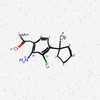 CNC(=O)c1ccc(C2(C#N)CCCC2)c(F)c1N